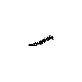 CCCCCC1CCC(CCc2ccc(-c3ccc(C4CCC(/C(F)=C/C(F)(F)F)CC4)c(F)c3)cc2)CC1